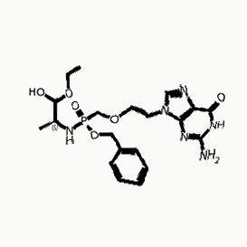 CCOC(O)[C@H](C)NP(=O)(COCCn1cnc2c(=O)[nH]c(N)nc21)OCc1ccccc1